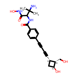 CC(C)(N)C(NC(=O)c1ccc(C#CC#C[C@H]2C[C@H](O)[C@H]2CO)cc1)C(=O)NO